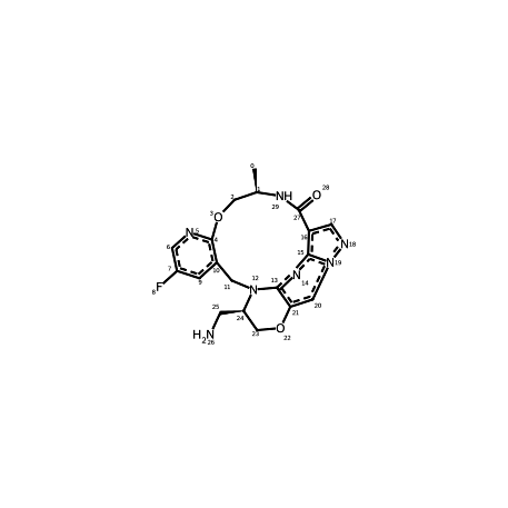 C[C@@H]1COc2ncc(F)cc2CN2c3nc4c(cnn4cc3OC[C@H]2CN)C(=O)N1